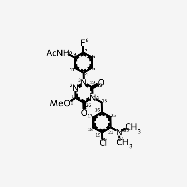 COc1nn(-c2ccc(F)c(NC(C)=O)c2)c(=O)n(Cc2ccc(Cl)c(N(C)C)c2)c1=O